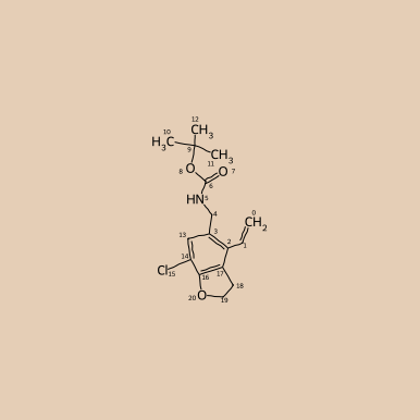 C=Cc1c(CNC(=O)OC(C)(C)C)cc(Cl)c2c1CCO2